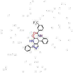 O=C(N[C@H]1C(=O)Nc2c(cnn2-c2ccccc2)[C@@H]1c1ccccc1Br)c1cccc(C(F)(F)F)c1